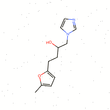 Cc1ccc(CCC(O)Cn2ccnc2)o1